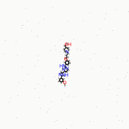 COc1cccc(-c2ncc(-c3ccnc(Nc4cccc(OCCCN5CCC(CO)CC5)c4)n3)[nH]2)c1